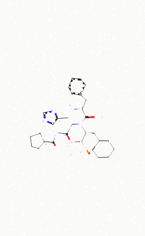 COP(=O)(OC)C(O)[C@H](CC1CCCCC1)N(C(=O)[C@@H](N)Cc1ccccc1)[C@@H](Cc1c[nH]cn1)C(=O)NC(=O)C1CCCC1